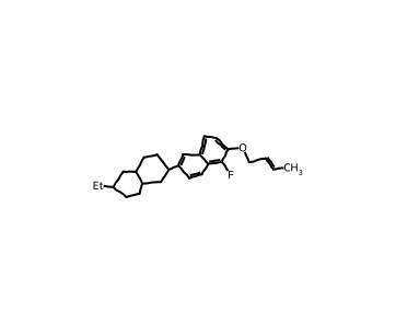 CC=CCOc1ccc2cc(C3CCC4CC(CC)CCC4C3)ccc2c1F